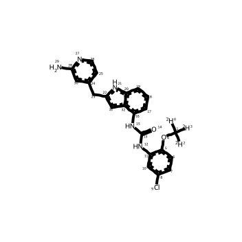 [2H]C([2H])([2H])Oc1ccc(Cl)cc1NC(=O)Nc1cccc2[nH]c(Cc3ccnc(N)c3)cc12